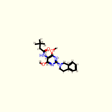 COc1nc(N2CCc3ccccc3C2)nc(OC)c1NC(=O)CC(C)(C)C